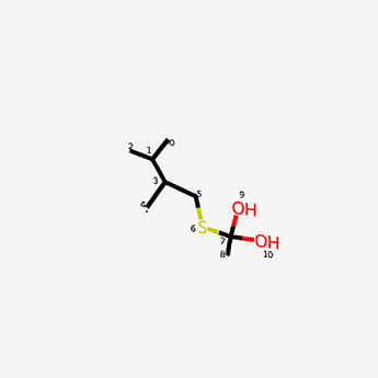 [CH2]C(C)C([CH2])CSC(C)(O)O